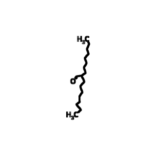 CCCCCCCCC(C=O)CCCCCCCC